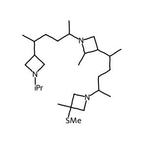 CSC1(C)CN(C(C)CCC(C)C2CN(C(C)CCC(C)C3CN(C(C)C)C3)C2C)C1